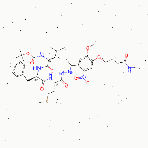 CNC(=O)CCCOc1cc([N+](=O)[O-])c(C(C)NNC(=O)[C@H](CCSC)NC(=O)[C@@H](Cc2ccccc2)NC(=O)[C@H](CC(C)C)NC(=O)OC(C)(C)C)cc1OC